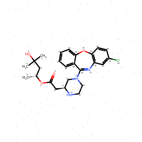 C[C@H](CC(C)(C)O)OC(=O)C[C@H]1CN(C2=Nc3cc(Cl)ccc3Oc3ccccc32)CCN1